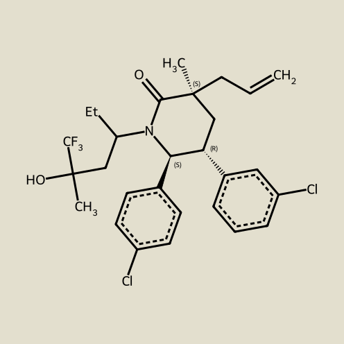 C=CC[C@@]1(C)C[C@H](c2cccc(Cl)c2)[C@@H](c2ccc(Cl)cc2)N(C(CC)CC(C)(O)C(F)(F)F)C1=O